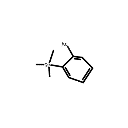 CC(=O)c1cccc[c]1[Sn]([CH3])([CH3])[CH3]